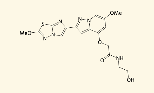 COc1cc(OCC(=O)NCCO)c2cc(-c3cn4nc(OC)sc4n3)nn2c1